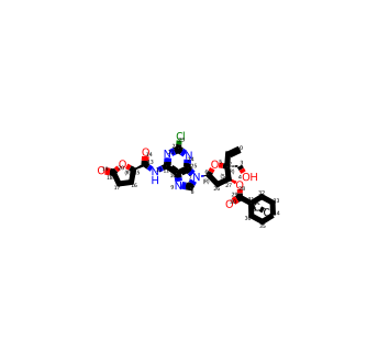 C=C[C@]1(CO)O[C@@H](n2cnc3c(NC(=O)[C@H]4CCC(=O)O4)nc(Cl)nc32)C[C@@H]1OC(=O)C12CCC(CC1)CC2